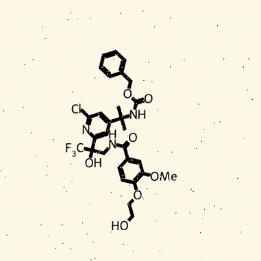 COc1cc(C(=O)NCC(O)(c2cc(C(C)(C)NC(=O)OCc3ccccc3)cc(Cl)n2)C(F)(F)F)ccc1OCCO